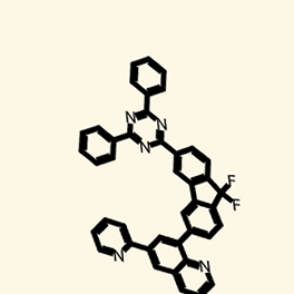 FC1(F)c2ccc(-c3nc(-c4ccccc4)nc(-c4ccccc4)n3)cc2-c2cc(-c3cc(-c4ccccn4)cc4cccnc34)ccc21